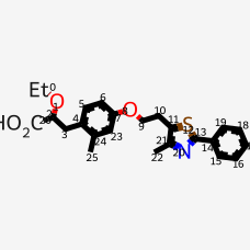 CCOC(Cc1ccc(OCCc2sc(-c3ccccc3)nc2C)cc1C)C(=O)O